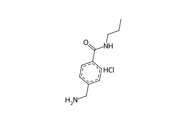 CCCNC(=O)c1ccc(CN)cc1.Cl